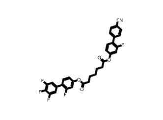 N#Cc1ccc(-c2ccc(OC(=O)CCCCCC(=O)Oc3ccc(-c4cc(F)c(F)c(F)c4)c(F)c3)cc2F)cc1